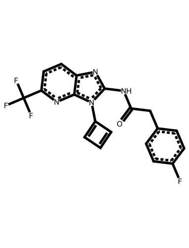 O=C(Cc1ccc(F)cc1)Nc1nc2ccc(C(F)(F)F)nc2n1C1=CC=C1